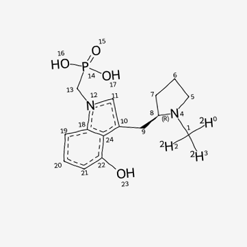 [2H]C([2H])([2H])N1CCC[C@@H]1Cc1cn(CP(=O)(O)O)c2cccc(O)c12